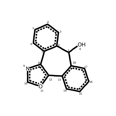 OC1c2ccccc2-c2ncoc2-c2ccccc21